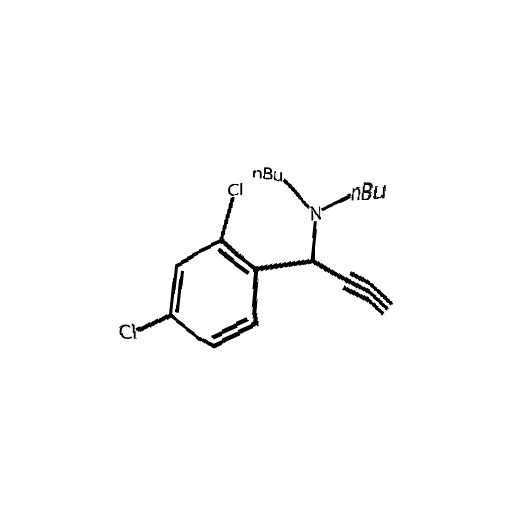 C#CC(c1ccc(Cl)cc1Cl)N(CCCC)CCCC